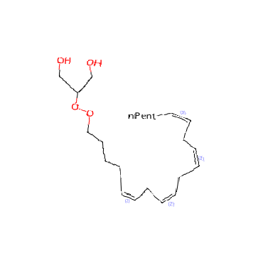 CCCCC/C=C\C/C=C\C/C=C\C/C=C\CCCCOOC(CO)CO